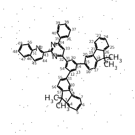 CC1(C)c2ccccc2-c2cc(-c3cc(-c4ccc5c(c4)-c4ccccc4C5(C)C)cc(-c4cc(-c5ccccc5)nc(-c5ccc6ccccc6n5)n4)c3)ccc21